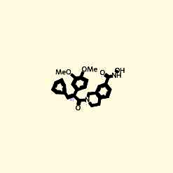 COc1ccc(/C(=C\c2ccccc2)C(=O)N2CCc3ccc(C(=O)NO)cc3C2)cc1OC